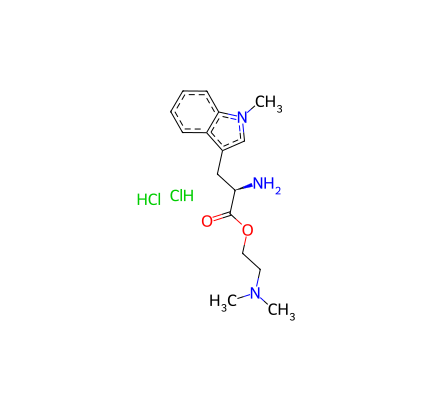 CN(C)CCOC(=O)[C@H](N)Cc1cn(C)c2ccccc12.Cl.Cl